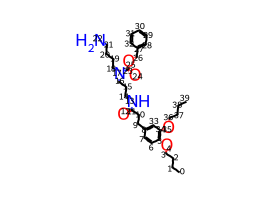 CCCCOc1ccc(CCC(=O)NCCCN(CCCCN)C(=O)OCc2ccccc2)cc1OCCCC